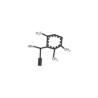 [C]#CC(CCCC)c1c(C)ccc(C)c1C